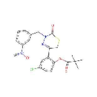 C=[N+]([O-])c1cccc(CN2N=C(c3cc(Cl)ccc3OC(=O)C(C)(C)C)CSC2=O)c1